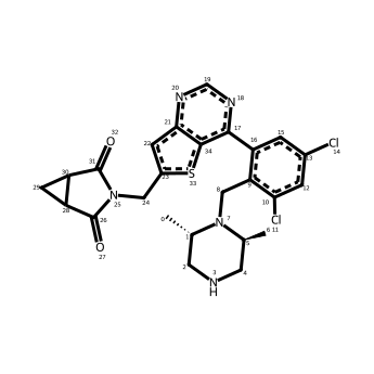 C[C@H]1CNC[C@H](C)N1Cc1c(Cl)cc(Cl)cc1-c1ncnc2cc(CN3C(=O)C4CC4C3=O)sc12